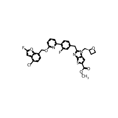 COC(=O)c1cc2c(nc(Cc3ccc(-c4cccc(OCc5ccc(Cl)c6cc(F)oc56)n4)c(F)c3)n2C[C@@H]2CCO2)s1